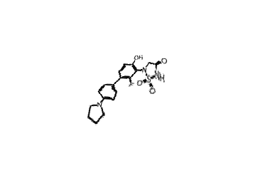 O=C1CN(c2c(O)ccc(-c3ccc(N4CCCC4)cc3)c2F)S(=O)(=O)N1